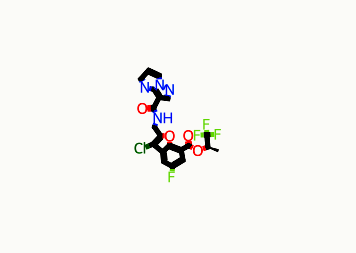 C[C@@H](OC(=O)c1cc(F)cc2c(Cl)c(CNC(=O)c3cnn4cccnc34)oc12)C(F)(F)F